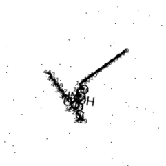 C#CC#CC#CC#CC#CC#CC#CCC(=O)CC(=O)N[C@H]1C(O)O[C@H](COC(C)C)[C@@H](C)[C@@H]1OCCCCCCCCCC